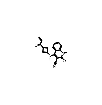 C=CC(=O)C1CC(Nc2c(C#N)c(=O)n(C)c3ccccc23)C1